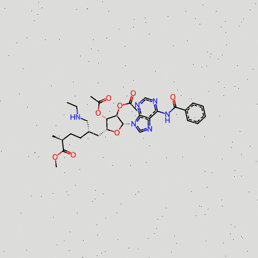 CCNC[C@@H](CC[C@H](C)C(=O)OC)C[C@H]1O[C@@H](n2cnc3c(NC(=O)c4ccccc4)ncnc32)C(OC(C)=O)[C@H]1OC(C)=O